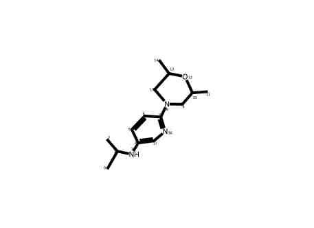 CC(C)Nc1ccc(N2CC(C)OC(C)C2)nc1